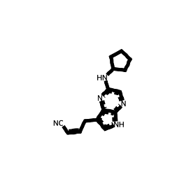 N#C/C=C\Cc1c[nH]c2ncc(NC3CCCC3)nc12